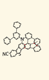 CC1(C)c2ccccc2-c2cccc(-c3c(-c4ccccc4)cccc3N(c3cc(-c4ccccc4)cc(-c4ccccc4)c3)c3ccc4sc5ccc(C#N)cc5c4c3)c21